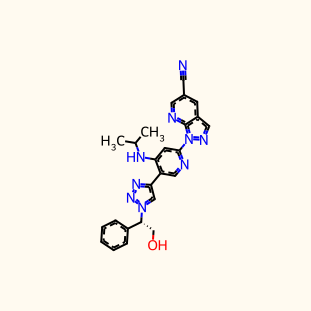 CC(C)Nc1cc(-n2ncc3cc(C#N)cnc32)ncc1-c1cn([C@H](CO)c2ccccc2)nn1